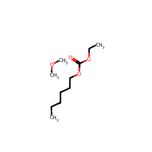 CCCCCCOC(=O)OCC.COC